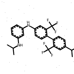 CC(C)Nc1cccc(Nc2ccc(-c3ccc(C(C)C)cc3C(F)(F)F)c(C(F)(F)F)c2)c1